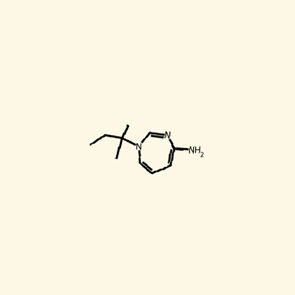 CCC(C)(C)N1C=CC=C(N)N=C1